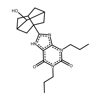 CCCn1c(=O)c2[nH]c(C34CC5CC3CC(C4)C5O)nc2n(CCC)c1=O